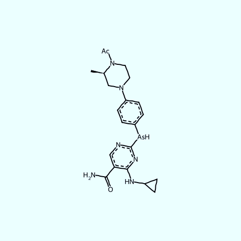 CC(=O)N1CCN(c2ccc([AsH]c3ncc(C(N)=O)c(NC4CC4)n3)cc2)C[C@H]1C